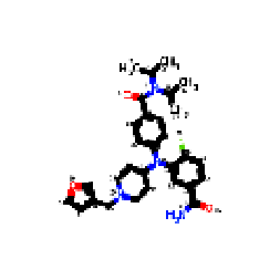 CC(C)N(C(=O)c1ccc(N(c2cc(C(N)=O)ccc2F)C2CCN(Cc3ccoc3)CC2)cc1)C(C)C